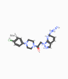 COc1cc(N2CCN(C(=O)Cn3ncc4ccc(N=[N+]=[N-])nc43)CC2)ccc1Cl